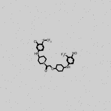 O=Nc1ccc(NC2CCC(OCC(=O)N3CCC(Nc4ccc(SC(F)(F)F)c(Cl)c4)CC3)CC2)cc1C(F)(F)F